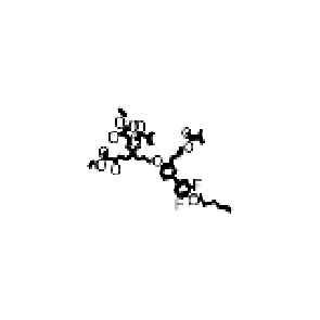 C=C(C)C(=O)OCCCc1cc(-c2cc(F)c(OCCCCCC)c(F)c2)ccc1OCCCC(CCC(=O)C(=O)OCC)(CCC(=O)C(=O)OCC)COC(=O)C(=C)C